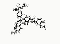 Cc1cc(NC(=O)c2ccc(Oc3ccc(NC(=O)OC(C)(C)C)cc3)c(Nc3ncnc4nc(C(C)C)ccc34)c2)ccc1F